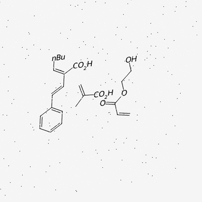 C=C(C)C(=O)O.C=CC(=O)OCCO.CCCCC=C(C=Cc1ccccc1)C(=O)O